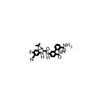 CC(C)OC[C@H](Nc1ccc(F)c(C#N)c1)C(=O)Nc1ccc2c(=O)[nH]c3c(C(N)=O)cccc3c2c1